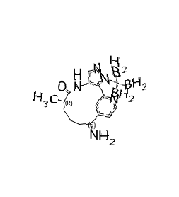 BC(B)(B)n1ncc2c1-c1cc(ccn1)[C@@H](N)CCC[C@@H](C)C(=O)N2